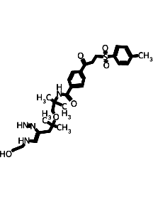 Cc1ccc(S(=O)(=O)CCC(=O)c2ccc(C(=O)NC(C)(C)COC(C)(C)C/C(=C/NCCO)N=N)cc2)cc1